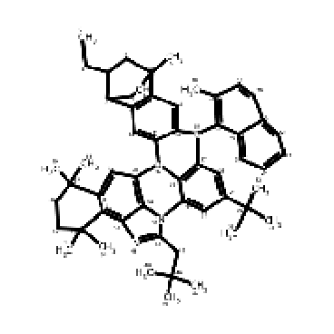 CCC1CC2(C)CCC1c1cc3c(cc12)B(c1c(C)ccc2ccccc12)c1cc(C(C)(C)C)cc2c1B3c1cc3c(c4nc(CC(C)(C)C)n-2c14)C(C)(C)CCC3(C)C